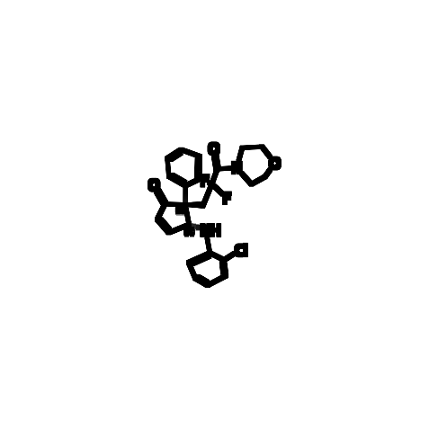 O=C(N1CCOCC1)C(F)(F)C[C@]1(c2ccccc2)C(=O)C=C[C@H]1Nc1ccccc1Cl